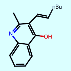 CCCCC=Cc1c(C)nc2ccccc2c1O